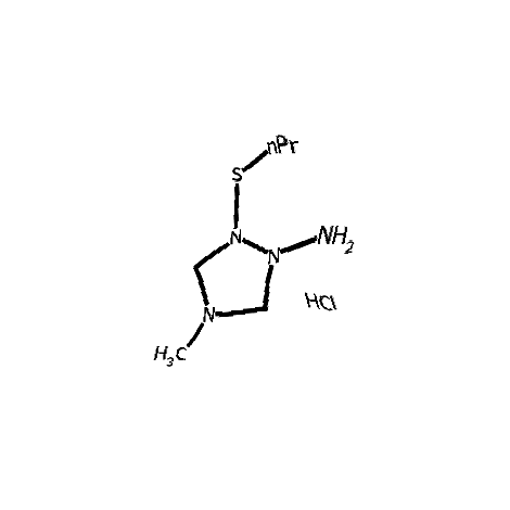 CCCSN1CN(C)CN1N.Cl